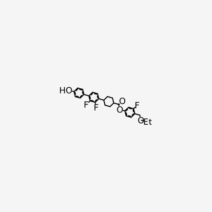 CCOCc1ccc(OC(=O)C2CCC(c3ccc(-c4ccc(O)cc4)c(F)c3F)CC2)cc1F